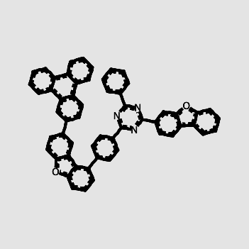 c1ccc(-c2nc(-c3ccc(-c4cccc5oc6ccc(-c7ccc8c9ccccc9c9ccccc9c8c7)cc6c45)cc3)nc(-c3ccc4c(c3)oc3ccccc34)n2)cc1